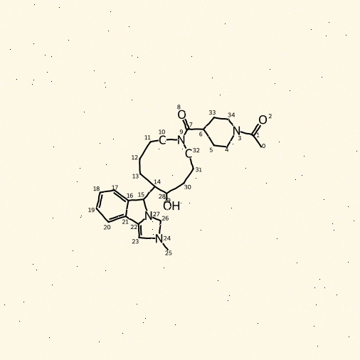 CC(=O)N1CCC(C(=O)N2CCCCC(C3c4ccccc4C4=CN(C)CN43)C(O)CCC2)CC1